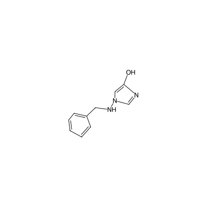 Oc1cn(NCc2ccccc2)cn1